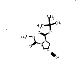 COC(=O)[C@@H]1C[C@@H](C#N)CN1C(=O)OC(C)(C)C